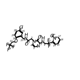 O=C(Cn1ccnc(NCC(F)(F)c2cccc[n+]2[O-])c1=O)NCc1cc(Cl)ccc1OCC(F)(F)F